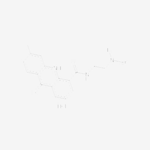 CCN(CC)CCNC(=O)c1cccc2c(=O)c3ccc(I)cc3[nH]c12.Cl